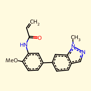 C=CC(=O)Nc1cc(-c2ccc3cnn(C)c3c2)ccc1OC